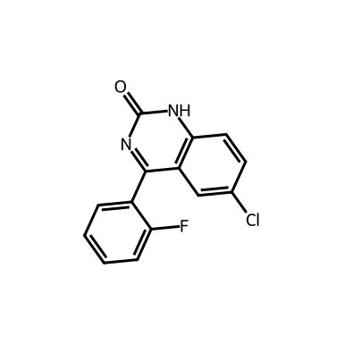 O=c1nc(-c2ccccc2F)c2cc(Cl)ccc2[nH]1